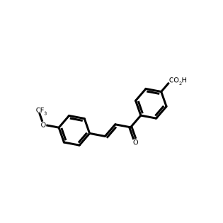 O=C(O)c1ccc(C(=O)C=Cc2ccc(OC(F)(F)F)cc2)cc1